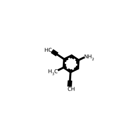 C#Cc1cc(N)cc(C#C)c1C